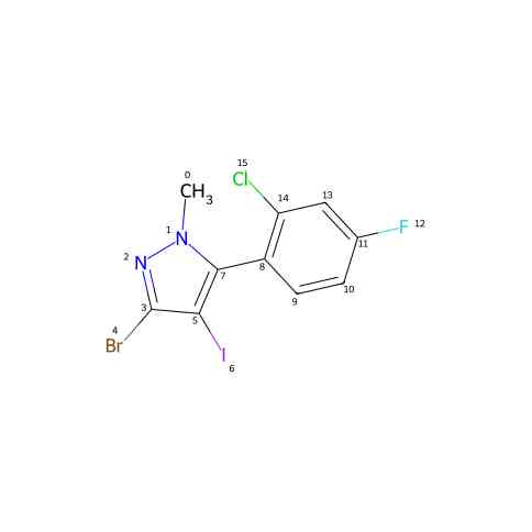 Cn1nc(Br)c(I)c1-c1ccc(F)cc1Cl